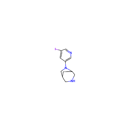 Ic1cncc(N2CC3CNCC2C3)c1